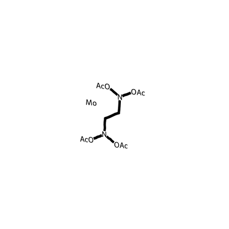 CC(=O)ON(CCN(OC(C)=O)OC(C)=O)OC(C)=O.[Mo]